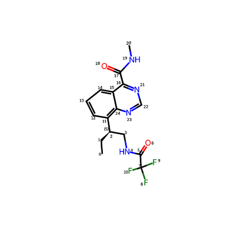 CC[C@H](CNC(=O)C(F)(F)F)c1cccc2c(C(=O)NC)ncnc12